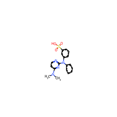 CN(C)c1ccnc(N(c2ccccc2)c2cccc(S(=O)(=O)O)c2)n1